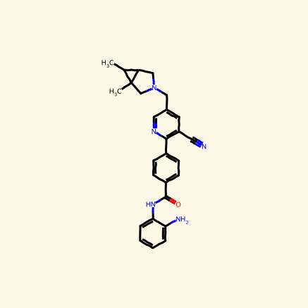 CC1C2CN(Cc3cnc(-c4ccc(C(=O)Nc5ccccc5N)cc4)c(C#N)c3)CC12C